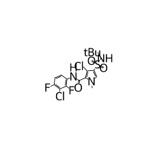 Cn1cc(S(=O)(=O)NC(C)(C)C)c(Cl)c1C(=O)Nc1ccc(F)c(Cl)c1F